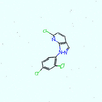 Clc1ccc(-n2ncc3ccc(Cl)nc32)c(Cl)c1